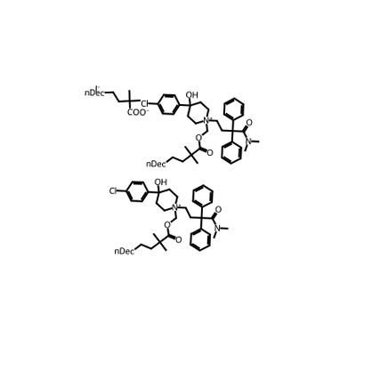 CCCCCCCCCCCCC(C)(C)C(=O)OC[N+]1(CCC(C(=O)N(C)C)(c2ccccc2)c2ccccc2)CCC(O)(c2ccc(Cl)cc2)CC1.CCCCCCCCCCCCC(C)(C)C(=O)OC[N+]1(CCC(C(=O)N(C)C)(c2ccccc2)c2ccccc2)CCC(O)(c2ccc(Cl)cc2)CC1.CCCCCCCCCCCCC(C)(C)C(=O)[O-].[I-]